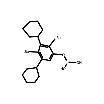 CC(C)(C)c1c(OP(O)O)cc(C2CCCCC2)c(C(C)(C)C)c1C1CCCCC1